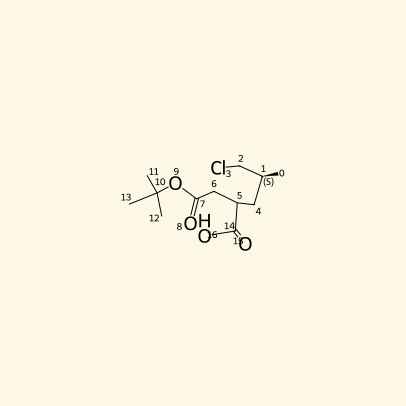 C[C@H](CCl)CC(CC(=O)OC(C)(C)C)C(=O)O